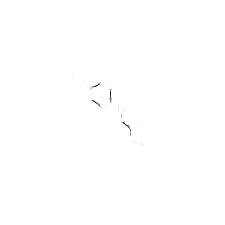 CC(=COc1ccc(C(C)C)cc1)C(=O)O